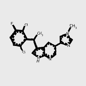 CC(c1c(Cl)ccc(F)c1Cl)c1c[nH]c2ncc(-c3cn(C)cn3)cc12